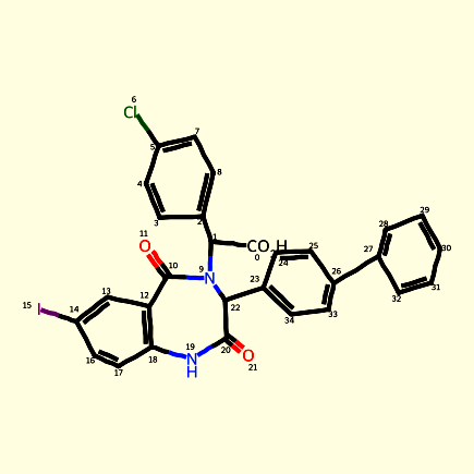 O=C(O)C(c1ccc(Cl)cc1)N1C(=O)c2cc(I)ccc2NC(=O)C1c1ccc(-c2ccccc2)cc1